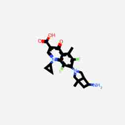 Cc1c(F)c(N2CC3C(N)CC3(C)C2)c(F)c2c1c(=O)c(C(=O)O)cn2C1CC1